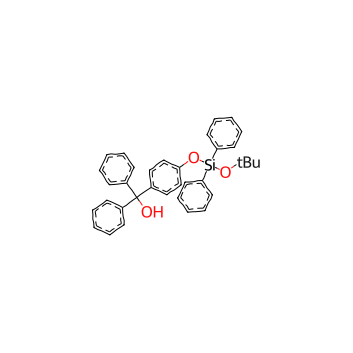 CC(C)(C)O[Si](Oc1ccc(C(O)(c2ccccc2)c2ccccc2)cc1)(c1ccccc1)c1ccccc1